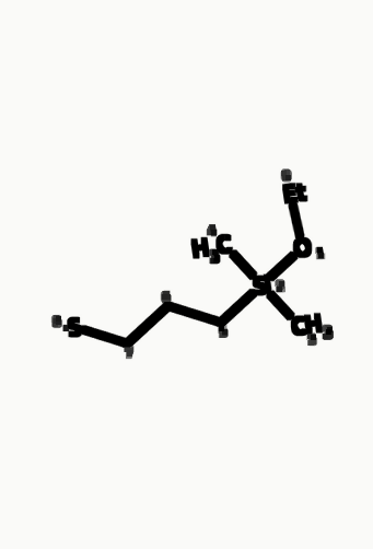 CCO[Si](C)(C)CCC[S]